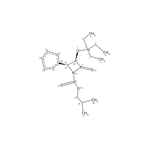 CC[Si](CC)(CC)O[C@H]1C(=O)N(C(=O)OCC(C)C)[C@H]1c1ccccc1